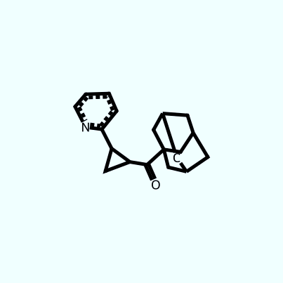 O=C(C1CC1c1ccccn1)C12CC3CC(CC(C3)C1)C2